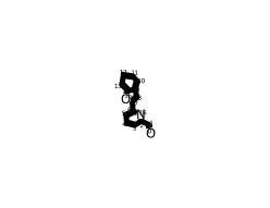 O=Cc1cccc(-c2cc3ccccc3o2)n1